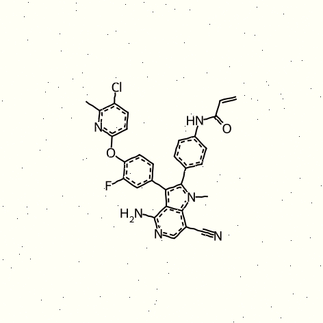 C=CC(=O)Nc1ccc(-c2c(-c3ccc(Oc4ccc(Cl)c(C)n4)c(F)c3)c3c(N)ncc(C#N)c3n2C)cc1